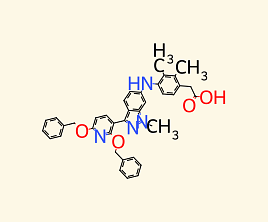 Cc1c(CC(=O)O)ccc(Nc2ccc3c(-c4ccc(OCc5ccccc5)nc4OCc4ccccc4)nn(C)c3c2)c1C